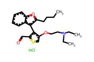 CCCCc1oc2ccccc2c1-c1c(OCCN(CC)CC)csc1C=O.Cl